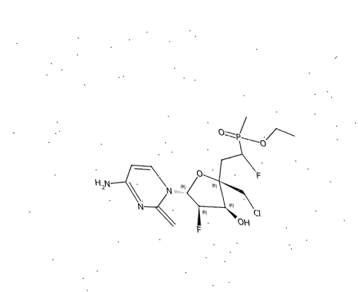 C=C1N=C(N)C=CN1[C@@H]1O[C@](CCl)(CC(F)P(C)(=O)OCC)[C@@H](O)[C@H]1F